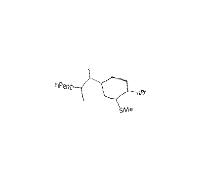 CCCCCC(C)C(C)C1CCC(CCC)C(SC)C1